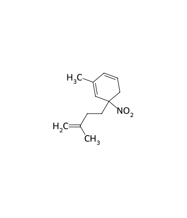 C=C(C)CCC1([N+](=O)[O-])C=C(C)C=CC1